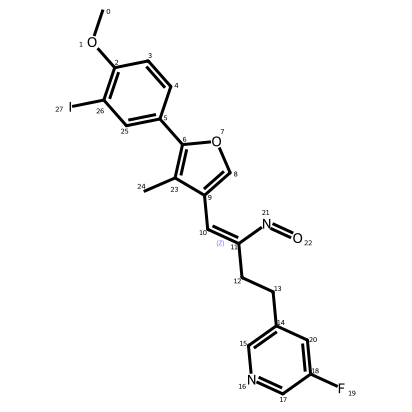 COc1ccc(-c2occ(/C=C(/CCc3cncc(F)c3)N=O)c2C)cc1I